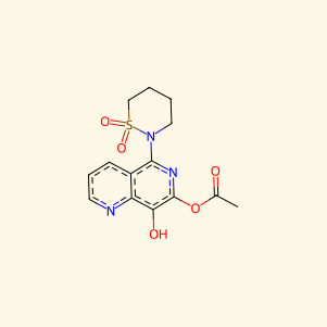 CC(=O)Oc1nc(N2CCCCS2(=O)=O)c2cccnc2c1O